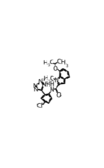 CC(C)Oc1cccc2cc(C(=O)Nc3ccc(Cl)cc3-c3nnn[nH]3)n(C)c12